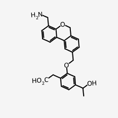 CC(O)c1ccc(CC(=O)O)c(OCc2ccc3c(c2)-c2cccc(CN)c2OC3)c1